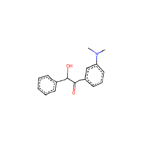 CN(C)c1cccc(C(=O)C(O)c2ccccc2)c1